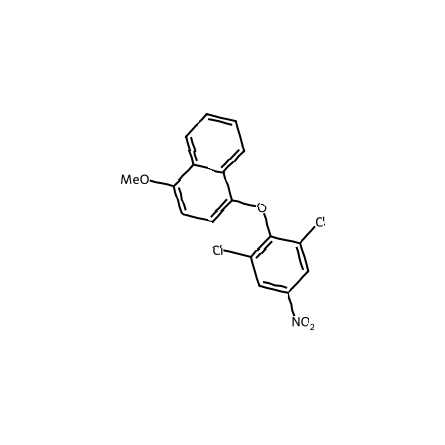 COc1ccc(Oc2c(Cl)cc([N+](=O)[O-])cc2Cl)c2ccccc12